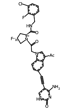 CC(=O)c1cn(CC(=O)N2C[C@H](F)C[C@H]2C(=O)NCc2cccc(Cl)c2F)c2ccc(C#Cc3c[nH]c(=O)nc3N)cc12